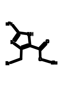 CCCc1nc(CBr)c(C(=O)OC(C)(C)C)[nH]1